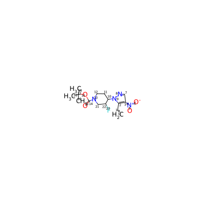 C=Cc1c([N+](=O)[O-])cnn1C1CCN(C(=O)OC(C)(C)C)CC1F